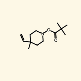 C=CC1(C)CCN(OC(=O)C(C)(C)C)CC1